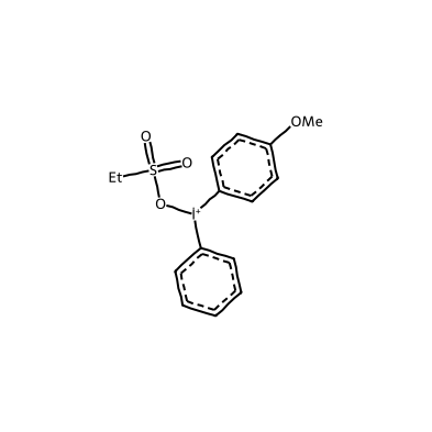 CCS(=O)(=O)O[I+](c1ccccc1)c1ccc(OC)cc1